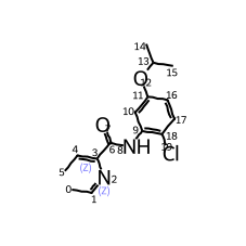 C/C=N\C(=C/C)C(=O)Nc1cc(OC(C)C)ccc1Cl